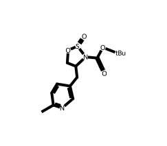 Cc1ccc(CC2COS(=O)N2C(=O)OC(C)(C)C)cn1